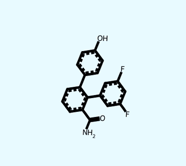 NC(=O)c1cccc(-c2ccc(O)cc2)c1-c1cc(F)cc(F)c1